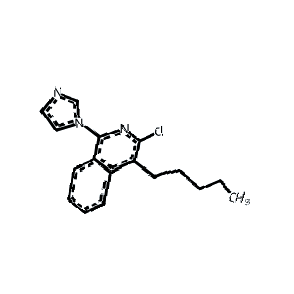 CCCCCc1c(Cl)nc(-n2ccnc2)c2ccccc12